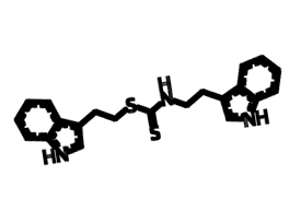 S=C(NCCc1c[nH]c2ccccc12)SCCc1c[nH]c2ccccc12